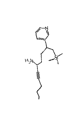 CCCC#CC(N)CCC(C[Si](C)(C)C)c1cccnc1